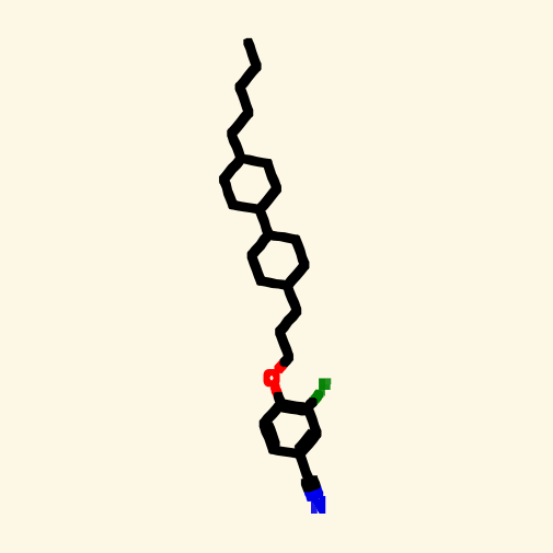 CCCCCC1CCC(C2CCC(CCCOc3ccc(C#N)cc3F)CC2)CC1